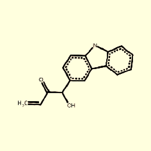 C=CC(=O)C(O)c1ccc2c(c1)-c1ccccc1[N]2